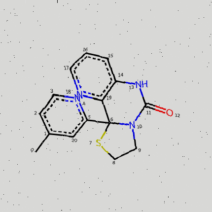 Cc1ccnc(C23SCCN2C(=O)Nc2cccnc23)c1